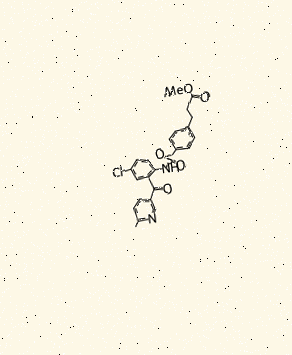 COC(=O)CCc1ccc(S(=O)(=O)Nc2ccc(Cl)cc2C(=O)c2ccc(C)nc2)cc1